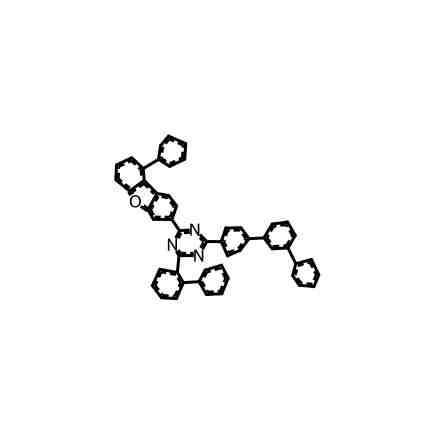 c1ccc(-c2cccc(-c3ccc(-c4nc(-c5ccc6c(c5)oc5cccc(-c7ccccc7)c56)nc(-c5ccccc5-c5ccccc5)n4)cc3)c2)cc1